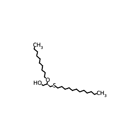 CCCCCCCCCCCCSC[C@@H](CO)OCCCCCCCCCC